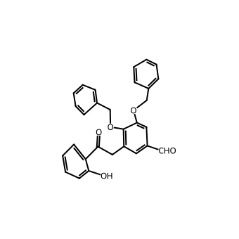 O=Cc1cc(CC(=O)c2ccccc2O)c(OCc2ccccc2)c(OCc2ccccc2)c1